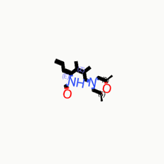 C=C/C=C(NC=O)\C(C)=C(\C)CN1C[C@@H](C)O[C@@H](C)C1